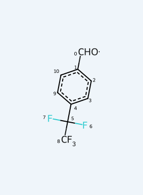 O=[C]c1ccc(C(F)(F)C(F)(F)F)cc1